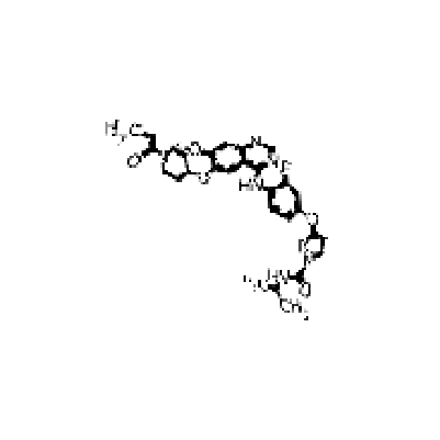 C=CC(=O)N1CCC(Oc2cc3c(Nc4ccc(Oc5ccn(C(=O)NC(C)C(F)(F)F)n5)cc4F)ncnc3cc2OC)CC1